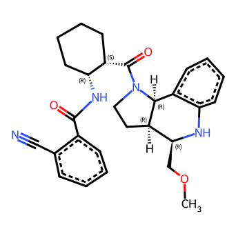 COC[C@@H]1Nc2ccccc2[C@H]2[C@@H]1CCN2C(=O)[C@H]1CCCC[C@H]1NC(=O)c1ccccc1C#N